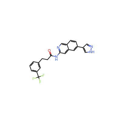 O=C(CCc1cccc(C(F)(F)F)c1)Nc1cc2cc(-c3cn[nH]c3)ccc2cn1